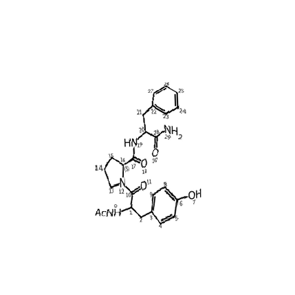 CC(=O)NC(Cc1ccc(O)cc1)C(=O)N1CCC[C@H]1C(=O)NC(Cc1ccccc1)C(N)=O